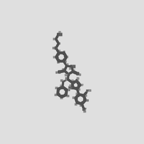 O=C1N[C@H](c2ccc(OCCO)cc2)C(=O)N1[C@@H](Cc1ccccc1)c1ncc(-c2ccc(Br)cc2F)[nH]1